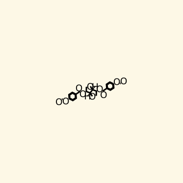 O=COc1ccc(C(=O)O[C@@H]2CO[C@H]3[C@@H]2OC[C@H]3OC(=O)c2ccc(OC=O)cc2)cc1